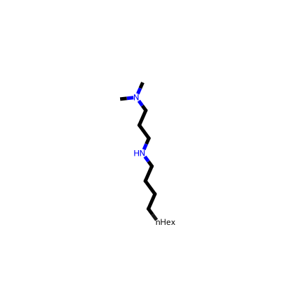 CCCCCCCCCCNCCCN(C)C